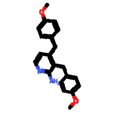 COc1ccc(Cc2ccnc(N)c2Cc2ccc(OC)cc2)cc1